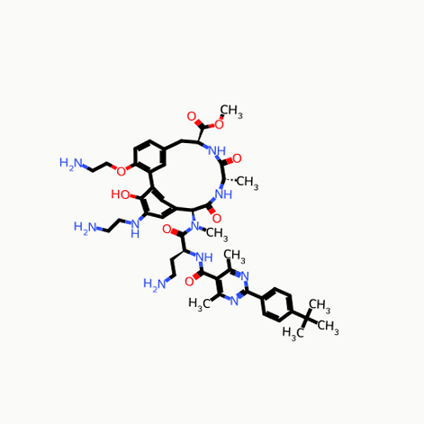 COC(=O)[C@@H]1Cc2ccc(OCCN)c(c2)-c2cc(cc(NCCN)c2O)[C@H](N(C)C(=O)[C@H](CCN)NC(=O)c2c(C)nc(-c3ccc(C(C)(C)C)cc3)nc2C)C(=O)N[C@@H](C)C(=O)N1